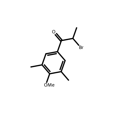 COc1c(C)cc(C(=O)C(C)Br)cc1C